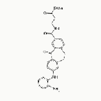 COC(=O)CCNC(=O)c1ccc2c(c1)C(=O)c1ccc(Nc3ccccc3N)cc1CC2